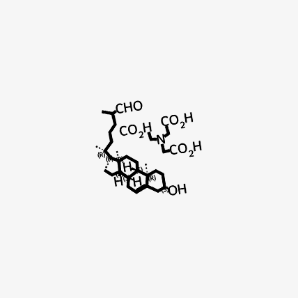 CC(C=O)CCC[C@@H](C)[C@H]1CC[C@H]2[C@@H]3CC=C4C[C@@H](O)CC[C@]4(C)[C@H]3CC[C@]12C.O=C(O)CN(CC(=O)O)CC(=O)O